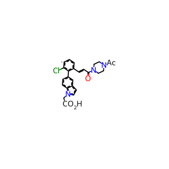 CC(=O)N1CCN(C(=O)/C=C/c2cc[c]c(Cl)c2-c2ccc3c(ccn3CC(=O)O)c2)CC1